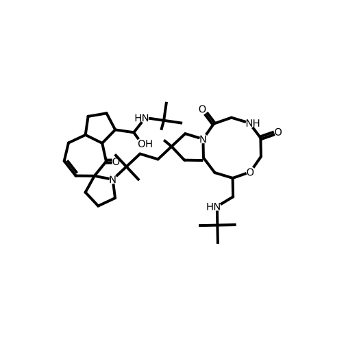 CCC(C)(CCC(C)(C)N1CCCC12C=CCC1CCC(C(O)NC(C)(C)C)C1C2=O)CN1CCC(CNC(C)(C)C)OCC(=O)NCC1=O